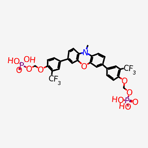 CN1c2ccc(-c3ccc(OCOP(=O)(O)O)c(C(F)(F)F)c3)cc2Oc2cc(-c3ccc(OCOP(=O)(O)O)c(C(F)(F)F)c3)ccc21